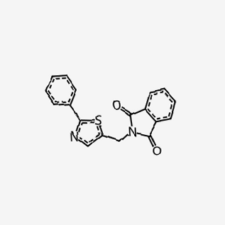 O=C1c2ccccc2C(=O)N1Cc1cnc(-c2ccccc2)s1